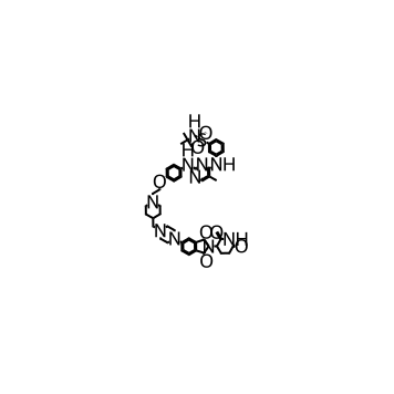 Cc1cnc(Nc2ccc(OCCN3CCC(CN4CCN(c5ccc6c(c5)C(=O)N(C5CCC(=O)NC5=O)C6=O)CC4)CC3)cc2)nc1Nc1cccc(S(=O)(=O)NC(C)(C)C)c1